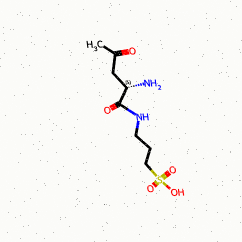 CC(=O)C[C@H](N)C(=O)NCCCS(=O)(=O)O